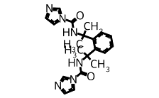 CC(C)(NC(=O)n1ccnc1)c1ccccc1C(C)(C)NC(=O)n1ccnc1